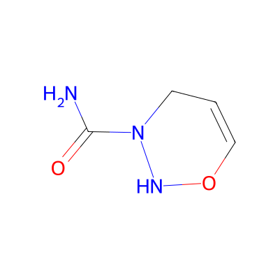 NC(=O)N1CC=CON1